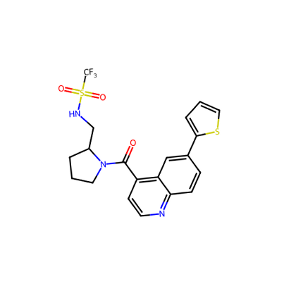 O=C(c1ccnc2ccc(-c3cccs3)cc12)N1CCCC1CNS(=O)(=O)C(F)(F)F